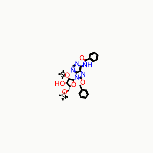 C[Si](C)(C)OC[C@H]1O[C@@H](n2c(OCc3ccccc3)nc3c(NC(=O)c4ccccc4)ncnc32)[C@H](O[Si](C)(C)C)[C@@H]1O